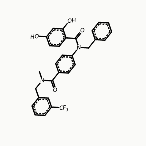 CN(Cc1cccc(C(F)(F)F)c1)C(=O)c1ccc(N(Cc2ccccc2)C(=O)c2ccc(O)cc2O)cc1